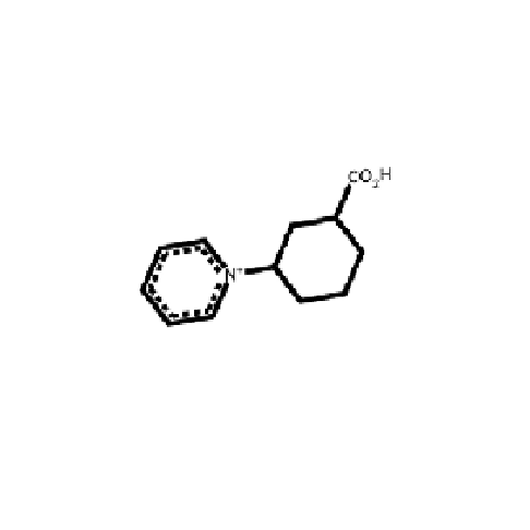 O=C(O)C1CCCC([n+]2ccccc2)C1